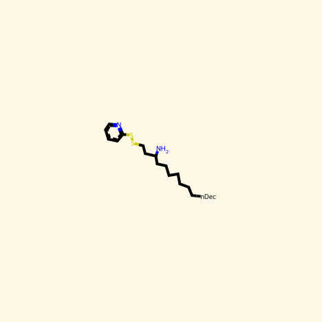 CCCCCCCCCCCCCCCCCC(N)CCSSc1ccccn1